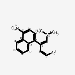 CC(=O)/C=C\C(=C\N(C)C)c1ccc([N+](=O)[O-])c2ccccc12